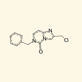 O=c1n(Cc2ccccc2)ccc2nc(CCl)cn12